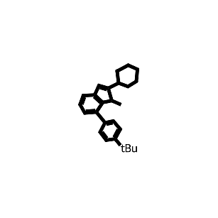 CC1C(C2CCCCC2)=Cc2cccc(-c3ccc(C(C)(C)C)cc3)c21